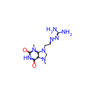 CN1CN(CC=NN=C(N)N)c2c1c(=O)[nH]c(=O)n2C